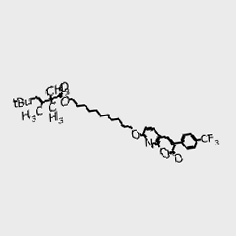 CC(CC(C)(C)C)C(C)(C)C(=O)OCCCCCCCCCCCOc1ccc2cc(-c3ccc(C(F)(F)F)cc3)c(=O)oc2n1